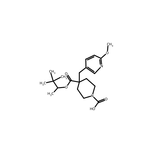 COc1ccc(CC2(C(=O)OC(C)C(C)(C)C)CCN(C(=O)O)CC2)cn1